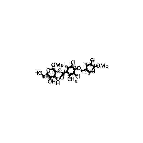 COc1ncc(COc2c(Cl)cc(C(=O)O[C@H]3[C@@H](OC)O[C@H](CO)[C@@H](O)[C@@H]3O)c(C)c2Cl)cc1Cl